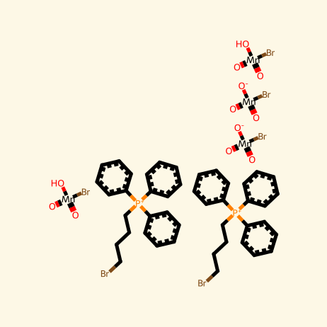 BrCCCC[P+](c1ccccc1)(c1ccccc1)c1ccccc1.BrCCCC[P+](c1ccccc1)(c1ccccc1)c1ccccc1.[O]=[Mn](=[O])([O-])[Br].[O]=[Mn](=[O])([O-])[Br].[O]=[Mn](=[O])([OH])[Br].[O]=[Mn](=[O])([OH])[Br]